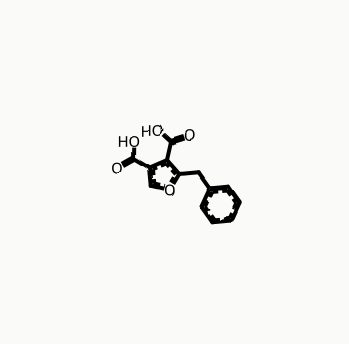 O=C(O)c1coc(Cc2ccccc2)c1C(=O)O